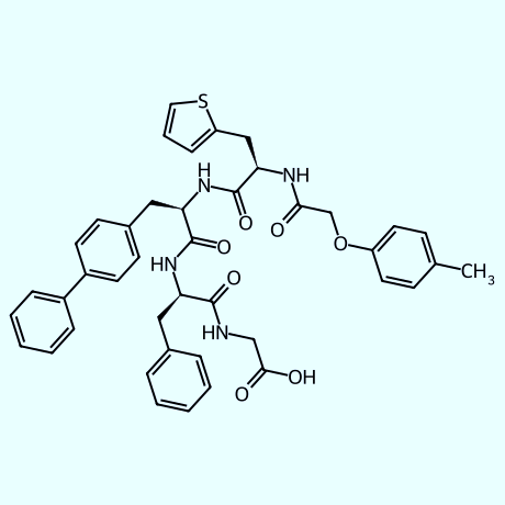 Cc1ccc(OCC(=O)N[C@H](Cc2cccs2)C(=O)N[C@H](Cc2ccc(-c3ccccc3)cc2)C(=O)N[C@H](Cc2ccccc2)C(=O)NCC(=O)O)cc1